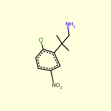 CC(C)(CN)c1cc([N+](=O)[O-])ccc1Cl